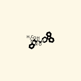 COc1nc2ccccc2nc1NC(=O)N1CCC(c2ccccc2)(c2ccccc2)CC1